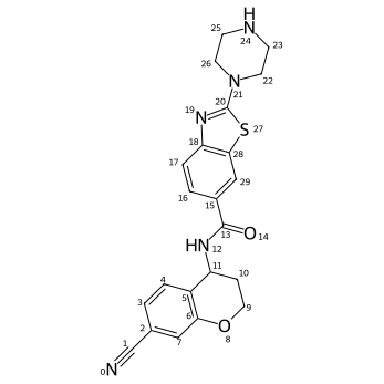 N#Cc1ccc2c(c1)OCCC2NC(=O)c1ccc2nc(N3CCNCC3)sc2c1